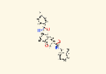 Cc1ccc(C(=O)Nc2ccc3c(c2)CC(C(=O)NCc2ccccc2C)CO3)cc1